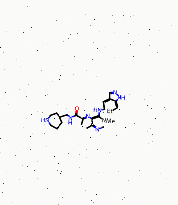 CC/C=c1/[nH]nc/c1=C/CN/C(NC)=C(\N=C(/C)C(=O)NCC1CCCNCC1)C(/C)=N\C